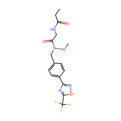 CCC(=O)NCC(=O)N(Cc1ccc(-c2noc(C(F)(F)F)n2)cc1)OC